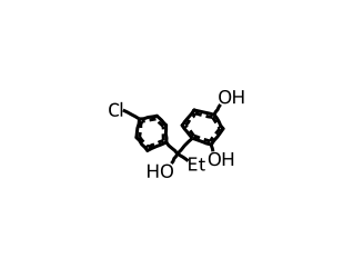 CCC(O)(c1ccc(Cl)cc1)c1ccc(O)cc1O